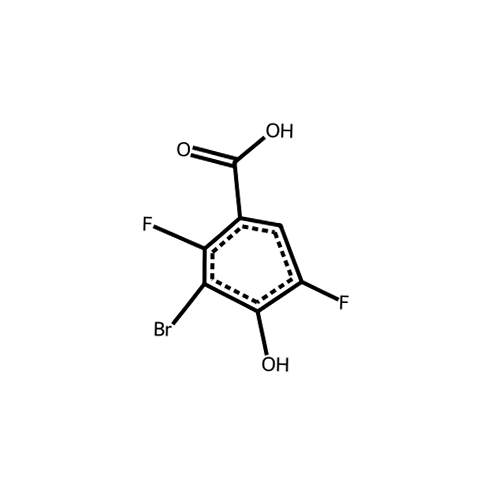 O=C(O)c1cc(F)c(O)c(Br)c1F